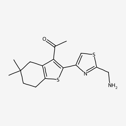 CC(=O)c1c(-c2csc(CN)n2)sc2c1CC(C)(C)CC2